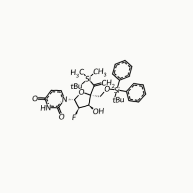 C=C([C@]1(CO[Si](c2ccccc2)(c2ccccc2)C(C)(C)C)O[C@@H](n2ccc(=O)[nH]c2=O)[C@H](F)[C@@H]1O)[Si](C)(C)C(C)(C)C